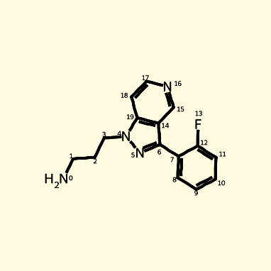 NCCCn1nc(-c2ccccc2F)c2cnccc21